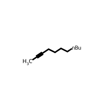 [CH2]CCCCCCCC#CC